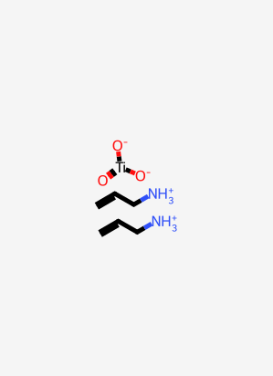 C=CC[NH3+].C=CC[NH3+].[O]=[Ti]([O-])[O-]